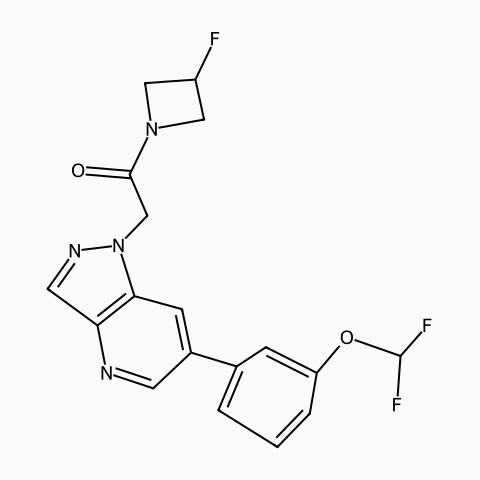 O=C(Cn1ncc2ncc(-c3cccc(OC(F)F)c3)cc21)N1CC(F)C1